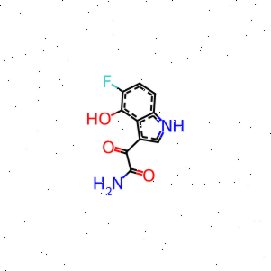 NC(=O)C(=O)c1c[nH]c2ccc(F)c(O)c12